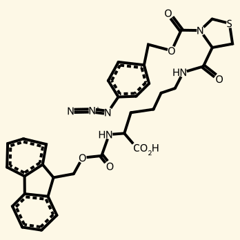 [N-]=[N+]=Nc1ccc(COC(=O)N2CSCC2C(=O)NCCCCC(NC(=O)OCC2c3ccccc3-c3ccccc32)C(=O)O)cc1